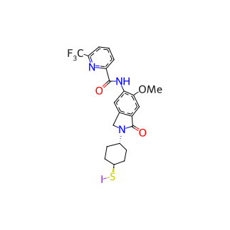 COc1cc2c(cc1NC(=O)c1cccc(C(F)(F)F)n1)CN([C@H]1CC[C@H](SI)CC1)C2=O